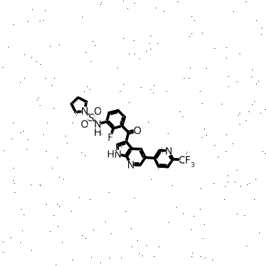 O=C(c1cccc(NS(=O)(=O)N2CCCC2)c1F)c1c[nH]c2ncc(-c3ccc(C(F)(F)F)nc3)cc12